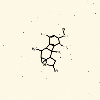 CCCC1CC2C3(CC3C(C)C3C4=C([C@H](C)C(NCC)C=C4C)C32C)N1